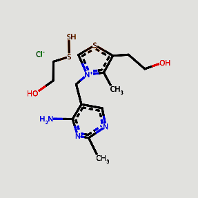 Cc1ncc(C[n+]2csc(CCO)c2C)c(N)n1.OCCSS.[Cl-]